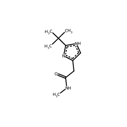 CNC(=O)Cc1c[nH]c(C(C)(C)C)n1